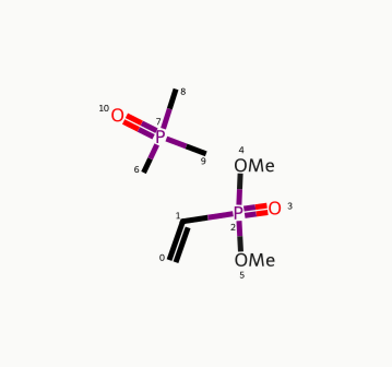 C=CP(=O)(OC)OC.CP(C)(C)=O